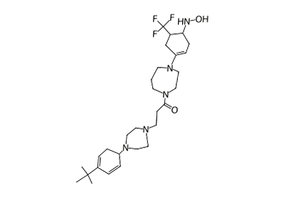 CC(C)(C)C1=CCC(N2CCN(CCC(=O)N3CCCN(C4=CCC(NO)C(C(F)(F)F)C4)CC3)CC2)C=C1